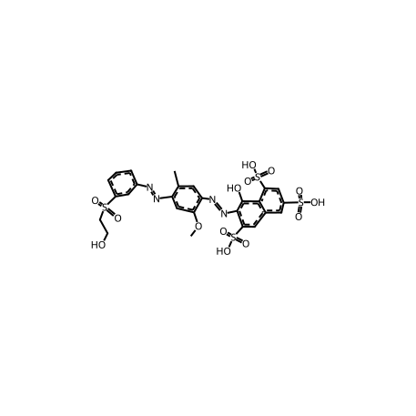 COc1cc(N=Nc2cccc(S(=O)(=O)CCO)c2)c(C)cc1N=Nc1c(S(=O)(=O)O)cc2cc(S(=O)(=O)O)cc(S(=O)(=O)O)c2c1O